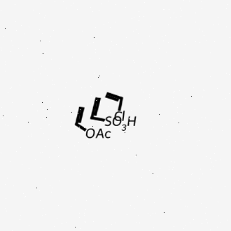 C=CCl.C=COC(C)=O.C=CS(=O)(=O)O